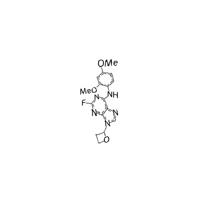 COc1ccc(Nc2nc(F)nc3c2ncn3C2CCO2)c(OC)c1